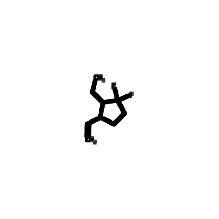 C=CN1CCC(F)(F)C1CC